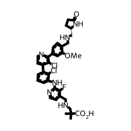 COc1cc(-c2nccc(-c3cccc(Nc4nccc(CNCC(C)(C)C(=O)O)c4F)c3Cl)c2Cl)ccc1CNC[C@@H]1CCC(=O)N1